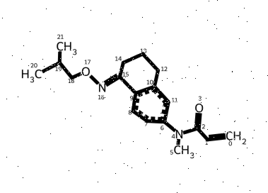 C=CC(=O)N(C)c1ccc2c(c1)CCC/C2=N\OCC(C)C